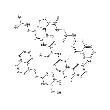 CC(C)C[C@H](NC(=O)[C@H](C)NC(=O)[C@H](Cc1ccc(O)cc1)NC(=O)[C@H](CO)NC(=O)COc1cccc2ccccc12)C(=O)N[C@@H](CCCNC(=N)N)C(=O)N1CCC[C@H]1C(=O)NCC(=O)Nc1ccc2ccccc2c1